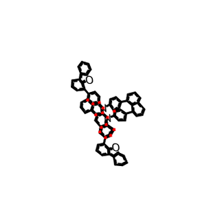 c1ccc2cc(N(c3ccc(-c4cccc5c4oc4ccccc45)cc3)c3ccc(-c4cccc5cccc(-c6ccc(N(c7ccc(-c8cccc9c8oc8ccccc89)cc7)c7ccc8ccccc8c7)cc6)c45)cc3)ccc2c1